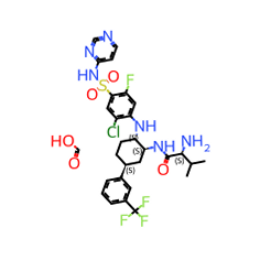 CC(C)[C@H](N)C(=O)N[C@H]1C[C@@H](c2cccc(C(F)(F)F)c2)CC[C@@H]1Nc1cc(F)c(S(=O)(=O)Nc2ccncn2)cc1Cl.O=CO